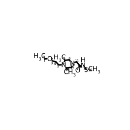 CCOCCCN1C(C)CN(CC(=O)NSC)CC1C